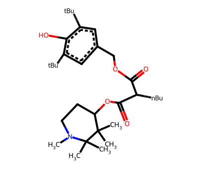 CCCCC(C(=O)OCc1cc(C(C)(C)C)c(O)c(C(C)(C)C)c1)C(=O)OC1CCN(C)C(C)(C)C1(C)C